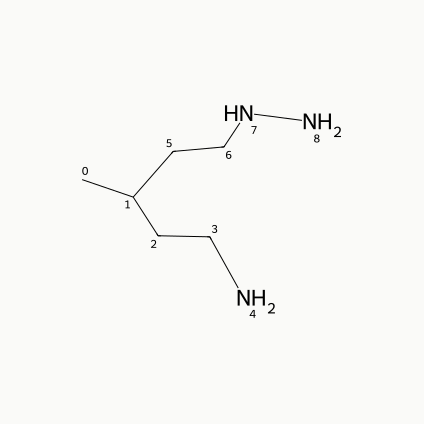 CC(CCN)CCNN